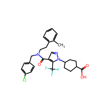 Cc1ccccc1CCN(Cc1ccc(Cl)cc1)C(=O)c1cnn(C2CCC(C(=O)O)CC2)c1C(F)(F)F